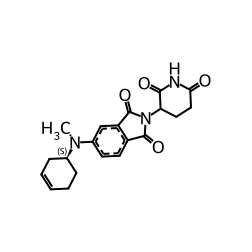 CN(c1ccc2c(c1)C(=O)N(C1CCC(=O)NC1=O)C2=O)[C@@H]1CC=CCC1